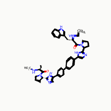 COCN[C@@H](Cc1c[nH]c2ccccc12)C(=O)N1CCCC1c1ncc(-c2ccc(-c3ccc(-c4cnc([C@@H]5CCCN5C(=O)[C@H](C)NC(=O)O)[nH]4)cc3)cc2)[nH]1